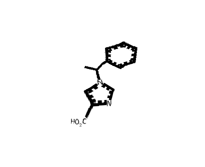 CC(c1ccccc1)n1cnc(C(=O)O)c1